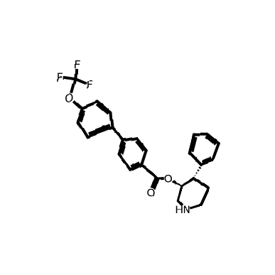 O=C(O[C@@H]1CNCC[C@H]1c1ccccc1)c1ccc(-c2ccc(OC(F)(F)F)cc2)cc1